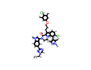 Cc1cc(OCCCc2c3n(c4c(-c5c(C)nn(C)c5C)c(Cl)ccc24)[C@H](C)CN(c2cn(C)c4ccc(-c5ncn(CC(C)C)n5)cc24)C3=O)cc(C)c1Cl